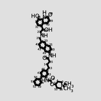 C[N+]1(C)CCC(OC(=O)Nc2cc(CCCC(=O)Nc3ccc4cc(CNC[C@@H](O)c5ccc(O)c6[nH]c(=O)ccc56)ccc4c3)ccc2-c2ccccc2)CC1